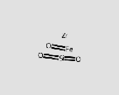 O=[Si]=O.[O]=[Fe].[Zr]